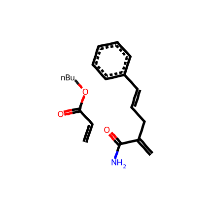 C=C(CC=Cc1ccccc1)C(N)=O.C=CC(=O)OCCCC